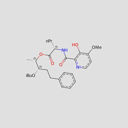 CCC[C@H](NC(=O)c1nccc(OC)c1O)C(=O)O[C@@H](C)[C@H](CCc1ccccc1)OCC(C)C